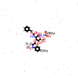 CCON(c1ccc(OC)cc1)[C@@H](C)C(=O)O[C@H]1[C@H](O)[C@@H](CO)OC(O)[C@@H]1NC(=O)OCc1ccccc1.COP(N)(=O)O